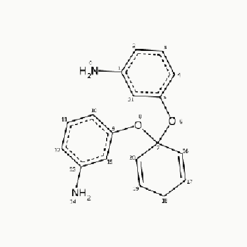 Nc1cccc(OC2(Oc3cccc(N)c3)C=CCC=C2)c1